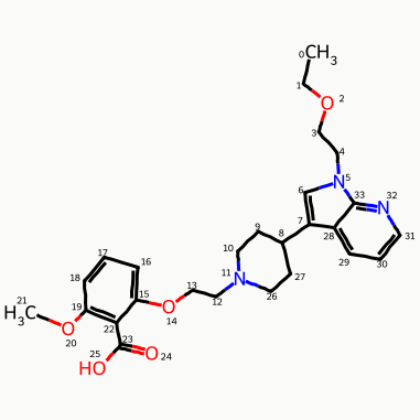 CCOCCn1cc(C2CCN(CCOc3cccc(OC)c3C(=O)O)CC2)c2cccnc21